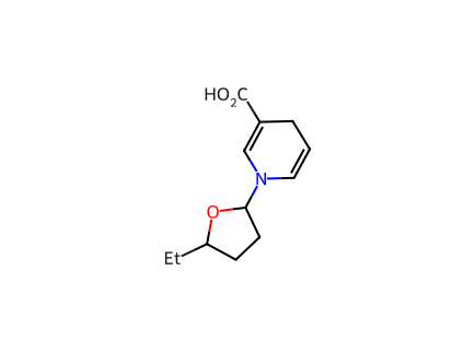 CCC1CCC(N2C=CCC(C(=O)O)=C2)O1